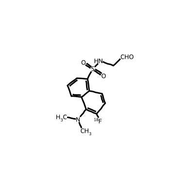 CN(C)c1c([18F])ccc2c(S(=O)(=O)NCC=O)cccc12